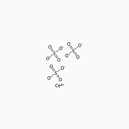 O=S(=O)([O-])[O-].O=S(=O)([O-])[O-].O=S(=O)([O-])[O-].[Ce+6]